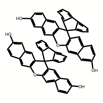 Oc1ccc2cc3c(cc2c1)C1(c2cc4cc(O)ccc4cc2O3)c2ccccc2-c2ccccc21.Oc1ccc2cc3c(cc2c1)Oc1cc2cc(O)ccc2cc1C31c2ccccc2-c2ccccc21